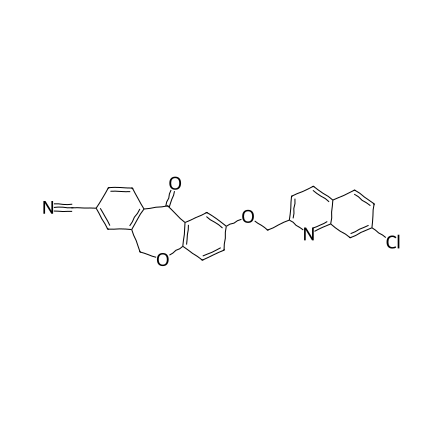 N#Cc1ccc2c(c1)COc1ccc(OCc3ccc4ccc(Cl)cc4n3)cc1C2=O